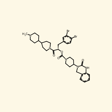 CN1CCC(C2CCN(C(=O)[C@@H](Cc3ccc(Br)c(Br)c3)OC(=O)N3CCC(N4Cc5ccccc5NC4=O)CC3)CC2)CC1